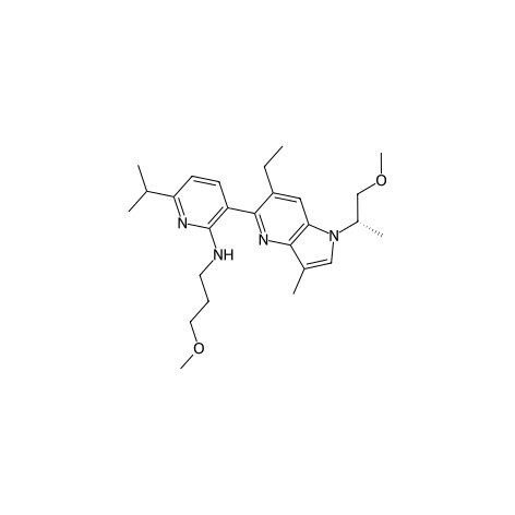 CCc1cc2c(nc1-c1ccc(C(C)C)nc1NCCCOC)c(C)cn2[C@@H](C)COC